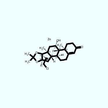 CC1(C)O[C@@H]2C[C@H]3[C@@H]4CCC5=CC(=O)CC[C@]5(C)[C@@]4(F)[C@@H](O)C[C@]3(C)[C@]2(C(=O)CCl)O1.[Zn]